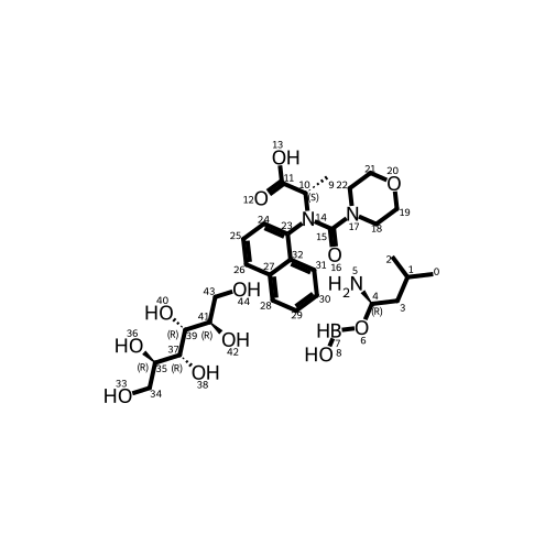 CC(C)C[C@H](N)OBO.C[C@@H](C(=O)O)N(C(=O)N1CCOCC1)c1cccc2ccccc12.OC[C@@H](O)[C@@H](O)[C@H](O)[C@H](O)CO